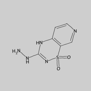 NNC1=NS(=O)(=O)c2cnccc2N1